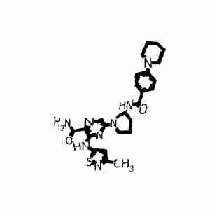 Cc1cc(Nc2nc(N3CCC[C@@H](NC(=O)c4ccc(N5CCCCC5)cc4)C3)cnc2C(N)=O)sn1